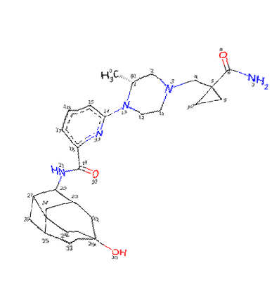 C[C@@H]1CN(CC2(C(N)=O)CC2)CCN1c1cccc(C(=O)NC2C3CC4CC2CC(O)(C4)C3)n1